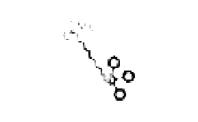 COC(=O)CCCC=CCCCCCn1nc(-c2ccccc2)c(-c2ccccc2)c1-c1ccccc1